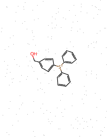 OCc1ccc([S+](c2ccccc2)c2ccccc2)cc1